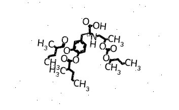 CCCC(C)OC(=O)OC(C)CN[C@@H](Cc1ccc(OC(=O)C(C)CCC)c(OC(=O)C(C)CCC)c1)C(=O)O